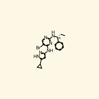 CC[C@@H](Nc1ncc(Br)c(Nc2cc(C3CC3)[nH]n2)n1)c1ccccc1